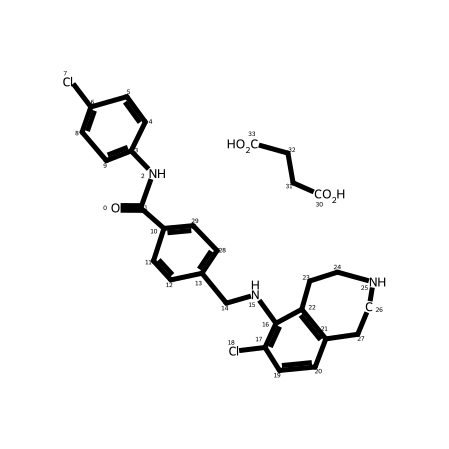 O=C(Nc1ccc(Cl)cc1)c1ccc(CNc2c(Cl)ccc3c2CCNCC3)cc1.O=C(O)CCC(=O)O